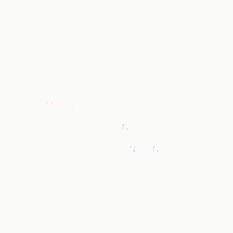 O=C1CC(n2nnc3ccccc32)C1